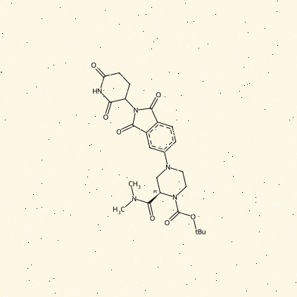 CN(C)C(=O)[C@H]1CN(c2ccc3c(c2)C(=O)N(C2CCC(=O)NC2=O)C3=O)CCN1C(=O)OC(C)(C)C